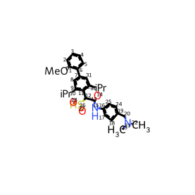 COc1ccccc1-c1cc(C(C)C)c(C(C(=O)Nc2ccc(CN(C)C)cc2)[SH](=O)=O)c(C(C)C)c1